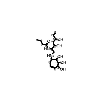 CCCC(=O)NC(CNC1CC=CC(O)C(O)C1O)C(O)CC(O)CC